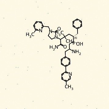 Cc1ccc(-c2ccc(CC(N)C[C@@H](O)[C@@H](Cc3ccccc3)CC(C)(C)C(C(N)=O)N3CCN(Cc4cccc(C)n4)C3=O)cc2)nc1